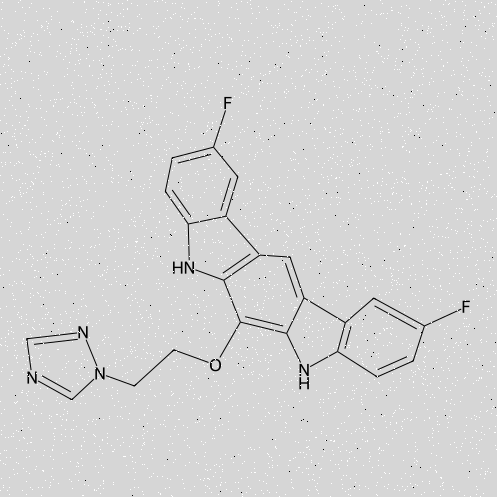 Fc1ccc2[nH]c3c(OCCn4cncn4)c4[nH]c5ccc(F)cc5c4cc3c2c1